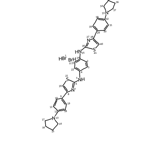 Br.Br.c1cc(Nc2nc(-c3ccc(N4CCCC4)cc3)cs2)ccc1Nc1nc(-c2ccc(N3CCCC3)cc2)cs1